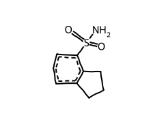 NS(=O)(=O)c1cccc2c1CCC2